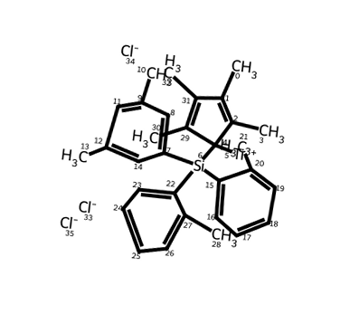 CC1=C(C)[C]([Ti+3])([Si](c2cc(C)cc(C)c2)(c2ccccc2C)c2ccccc2C)C(C)=C1C.[Cl-].[Cl-].[Cl-]